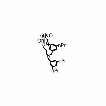 CCCc1cc(CCC)cc(CN(CCCO)Cc2cc(CCC)cc(CCP(=O)(N=O)N=O)c2)c1